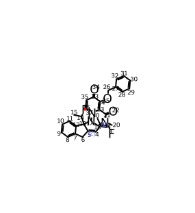 CC(=C/F)/C=C1/Cc2ccccc2C1(C(C)F)N1CN(C)C(=O)c2c(OCc3ccccc3)c(=O)ccn21